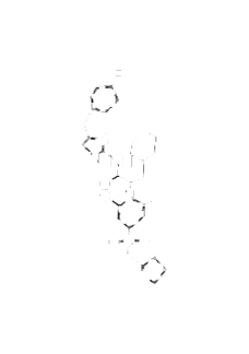 Cc1cc(S(=O)(=O)Cc2ccco2)cc(=O)n1C(CC1CCOCC1)C(=O)Nc1ncc(Cc2ccc(F)cc2)s1